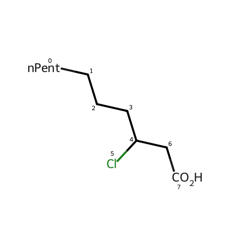 CCCCCCCCC(Cl)CC(=O)O